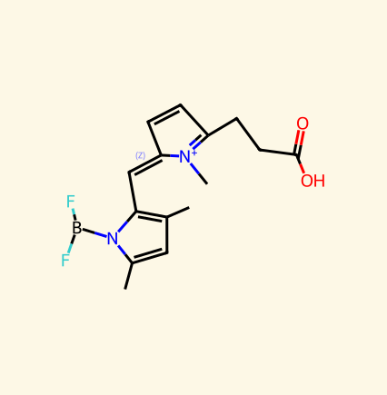 Cc1cc(C)n(B(F)F)c1/C=C1/C=CC(CCC(=O)O)=[N+]1C